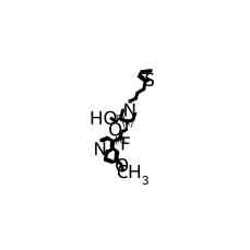 COc1ccc2nccc([C@H](F)CC[C@@H]3CCN(CCCCc4cccs4)C[C@@H]3C(=O)O)c2c1